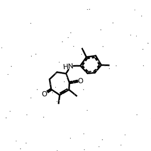 CC1=C(C)C(=O)C(Nc2ccc(C)cc2C)CCC1=O